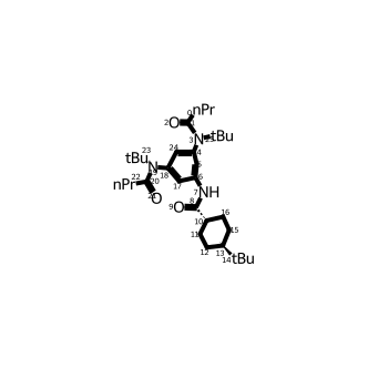 CCCC(=O)N(c1cc(NC(=O)[C@H]2CC[C@H](C(C)(C)C)CC2)cc(N(C(=O)CCC)C(C)(C)C)c1)C(C)(C)C